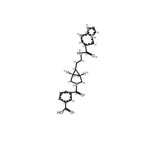 O=C(O)c1cccc(C(=O)N2C[C@@H]3C(CCNC(=O)c4cnc5nccn5c4)[C@@H]3C2)c1